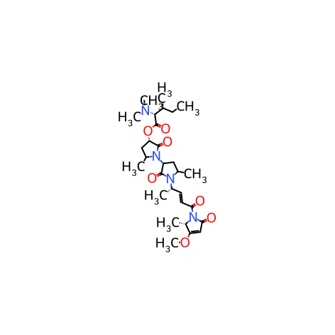 CC[C@H](C)[C@H](C(=O)O[C@H]1CC(C)N([C@H]2CC(C)N([C@@H](C)/C=C/C(=O)N3C(=O)C=C(OC)[C@@H]3C)C2=O)C1=O)N(C)C